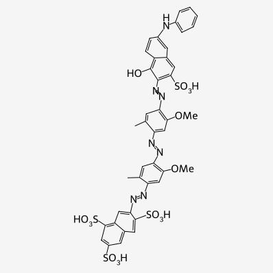 COc1cc(N=Nc2cc3c(S(=O)(=O)O)cc(S(=O)(=O)O)cc3cc2S(=O)(=O)O)c(C)cc1N=Nc1cc(OC)c(N=Nc2c(S(=O)(=O)O)cc3cc(Nc4ccccc4)ccc3c2O)cc1C